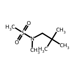 CN(CC(C)(C)C)S(C)(=O)=O